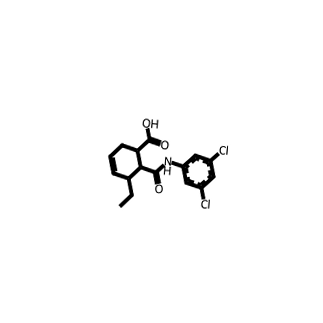 CCC1C=CCC(C(=O)O)C1C(=O)Nc1cc(Cl)cc(Cl)c1